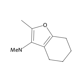 CNc1c(C)oc2c1CCCC2